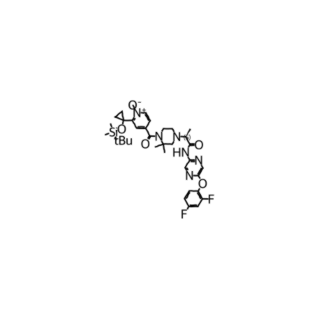 C[C@@H](C(=O)Nc1cnc(Oc2ccc(F)cc2F)cn1)N1CCN(C(=O)c2cc[n+]([O-])c(C3(O[Si](C)(C)C(C)(C)C)CC3)c2)C(C)(C)C1